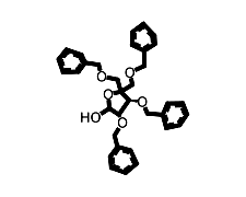 OC1OC(COCc2ccccc2)(COCc2ccccc2)[C@@H](OCc2ccccc2)[C@H]1OCc1ccccc1